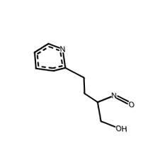 O=NC(CO)CCc1ccccn1